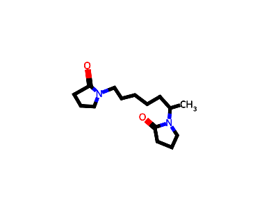 CC(CCCCCN1CCCC1=O)N1CCCC1=O